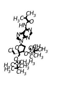 CC(C)C(=O)Nc1ncnc2c1ncn2[C@H]1CC(O[Si](C)(C)C(C)(C)C)[C@@](CCl)(CO[Si](C)(C)C(C)(C)C)O1